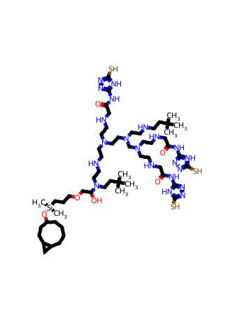 CC(C)(C)CCNCCN(CCN(CCNCCN(CCC(C)(C)C)C(O)COCCC[Si](C)(C)OC1CCCCC2CC2CC1)CCNCC(=O)Nc1nnc(S)[nH]1)CN(CCNCC(=O)Nc1nnc(S)[nH]1)CCNCC(=O)Nc1nnc(S)[nH]1